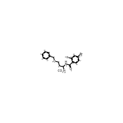 O=C(NC(CCOCc1ccccc1)C(=O)O)c1ccc(Br)cc1F